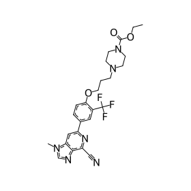 CCOC(=O)N1CCN(CCCOc2ccc(-c3cc4c(ncn4C)c(C#N)n3)cc2C(F)(F)F)CC1